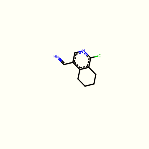 N=Cc1cnc(Cl)c2c1CCCC2